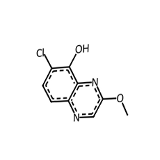 COc1cnc2ccc(Cl)c(O)c2n1